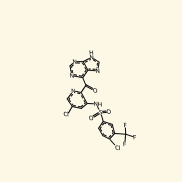 O=C(c1ncc(Cl)cc1NS(=O)(=O)c1ccc(Cl)c(C(F)(F)F)c1)c1ncnc2[nH]cnc12